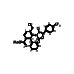 COC(=O)c1ccc(CCl)c(N2C(=O)OC(c3ccc(C(F)(F)F)cc3)N2Cl)c1-c1ccccc1